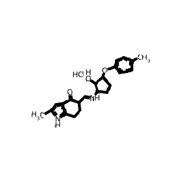 Cc1ccc(OC2CCC(NCC3CCc4[nH]c(C)cc4C3=O)C2O)cc1.Cl